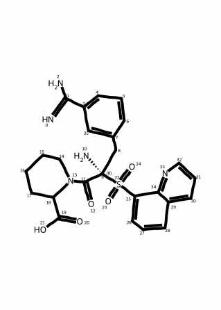 N=C(N)c1cccc(C[C@](N)(C(=O)N2CCCCC2C(=O)O)S(=O)(=O)c2cccc3cccnc23)c1